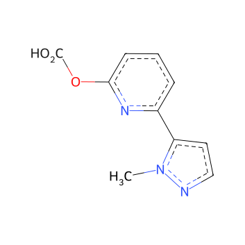 Cn1nccc1-c1cccc(OC(=O)O)n1